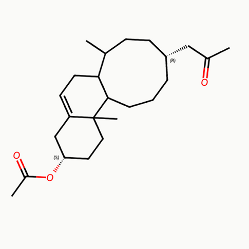 CC(=O)C[C@@H]1CCCC2C(CC=C3C[C@@H](OC(C)=O)CCC32C)C(C)CC1